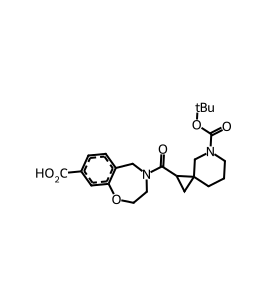 CC(C)(C)OC(=O)N1CCCC2(CC2C(=O)N2CCOc3cc(C(=O)O)ccc3C2)C1